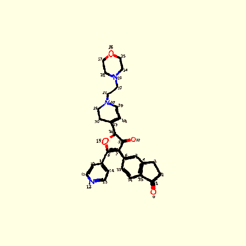 O=C1CCc2cc(C3=C(c4ccncc4)OC(C4CCN(CCN5CCOCC5)CC4)C3=O)ccc21